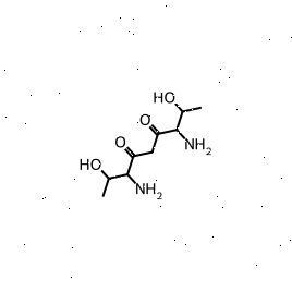 CC(O)C(N)C(=O)CC(=O)C(N)C(C)O